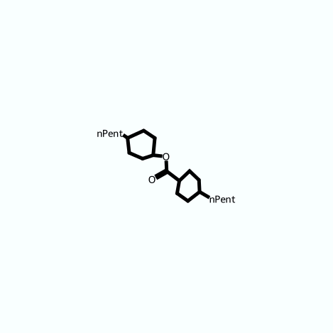 CCCCCC1CCC(OC(=O)C2CCC(CCCCC)CC2)CC1